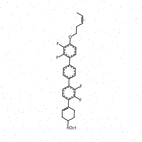 C/C=C\CCOc1ccc(-c2ccc(-c3ccc(C4=CCC(CCCCCCCC)CC4)c(F)c3F)cc2)c(F)c1F